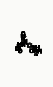 O=C(Nc1ccc(-c2nc(N3CCOCC3)cc(C3(C[SH](=O)=O)CC3)n2)cc1)NC1CC1